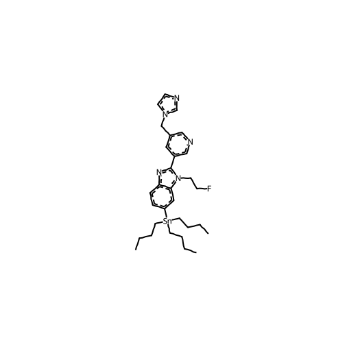 CCC[CH2][Sn]([CH2]CCC)([CH2]CCC)[c]1ccc2nc(-c3cncc(Cn4ccnc4)c3)n(CCF)c2c1